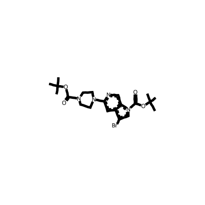 CC(C)(C)OC(=O)N1CCN(c2cc3c(Br)cn(C(=O)OC(C)(C)C)c3cn2)CC1